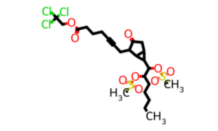 CCCCCC(OS(C)(=O)=O)C(OS(C)(=O)=O)C1C2CC(=O)C(CC#CCCCC(=O)OCC(Cl)(Cl)Cl)C21